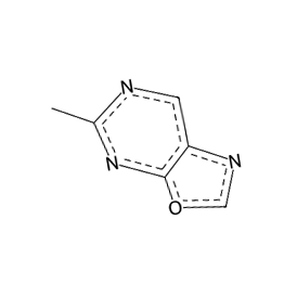 Cc1ncc2ncoc2n1